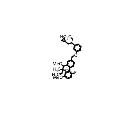 C=CC(C)(C)C(OC)c1cc(COc2cccc([C@H](CC(=O)O)CC3CC3)c2)ccc1-c1cc(OC)ccc1F